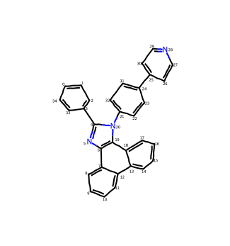 c1ccc(-c2nc3c4ccccc4c4ccccc4c3n2-c2ccc(-c3ccncc3)cc2)cc1